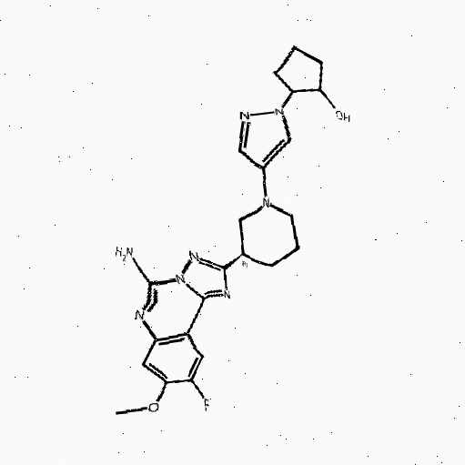 COc1cc2nc(N)n3nc([C@@H]4CCCN(c5cnn(C6CCCC6O)c5)C4)nc3c2cc1F